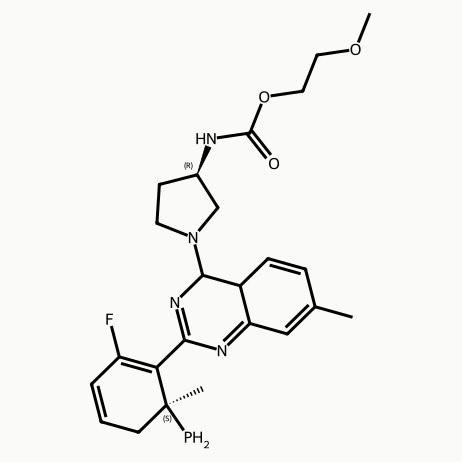 COCCOC(=O)N[C@@H]1CCN(C2N=C(C3=C(F)C=CC[C@]3(C)P)N=C3C=C(C)C=CC32)C1